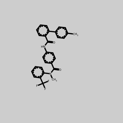 Cc1ccc(-c2ccccc2C(=O)Nc2ccc(C(=O)N(C)c3ccccc3C(F)(F)F)cc2)cc1